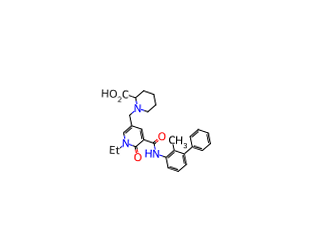 CCn1cc(CN2CCCCC2C(=O)O)cc(C(=O)Nc2cccc(-c3ccccc3)c2C)c1=O